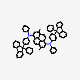 Cc1cc(N(c2ccccc2)c2ccc(C3(c4ccccc4)c4ccccc4-c4ccccc43)cc2)c2ccc3c(C)cc(N(c4ccccc4)c4ccc(C5(c6ccccc6)c6ccccc6-c6ccccc65)cc4)c4ccc1c2c34